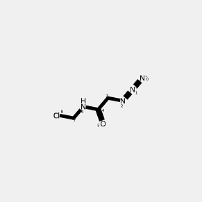 [N-]=[N+]=NCC(=O)NCCl